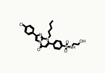 CCCCCn1c(-c2ccc(S(=O)(=O)NCCO)cc2)cc(=O)n2cc(-c3ccc(Cl)cc3)nc12